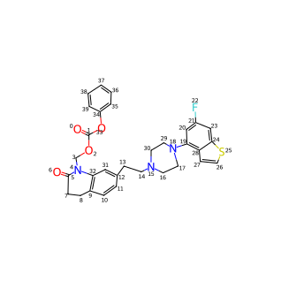 O=C(OCN1C(=O)CCc2ccc(CCN3CCN(c4cc(F)cc5sccc45)CC3)cc21)Oc1ccccc1